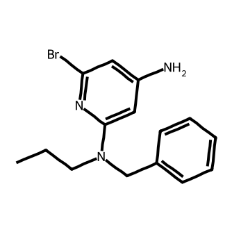 CCCN(Cc1ccccc1)c1cc(N)cc(Br)n1